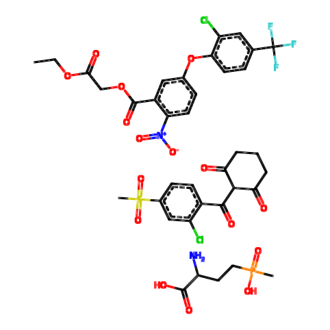 CCOC(=O)COC(=O)c1cc(Oc2ccc(C(F)(F)F)cc2Cl)ccc1[N+](=O)[O-].CP(=O)(O)CCC(N)C(=O)O.CS(=O)(=O)c1ccc(C(=O)C2C(=O)CCCC2=O)c(Cl)c1